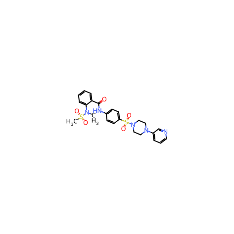 CN(c1ccccc1C(=O)Nc1ccc(S(=O)(=O)N2CCN(c3cccnc3)CC2)cc1)S(C)(=O)=O